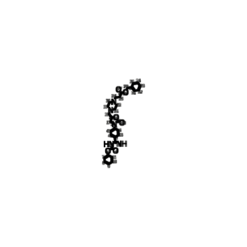 N=C(NC(=O)Oc1ccccc1)c1ccc(N2CC(CN3CCN(CCC(=O)OCc4ccccc4)CC3)OC2=O)cc1